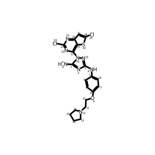 Nc1nc(Nc2ccc(OCCN3CCCC3)cc2)nn1-c1nc(Cl)nc2cc(Cl)sc12